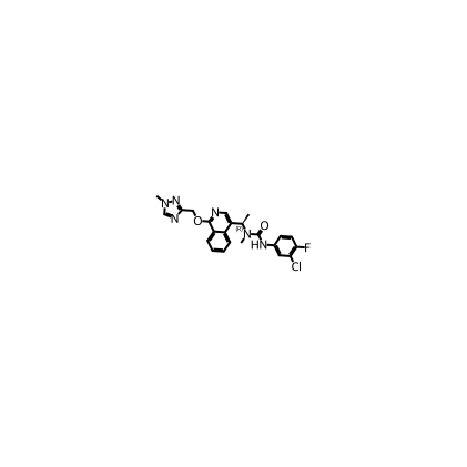 C[C@H](c1cnc(OCc2ncn(C)n2)c2ccccc12)N(C)C(=O)Nc1ccc(F)c(Cl)c1